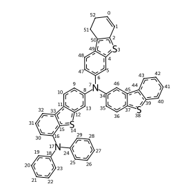 C1=Cc2sc3cc(N(c4ccc5c(c4)sc4c(N(c6ccccc6)c6ccccc6)cccc45)c4ccc5sc6ccccc6c5c4)ccc3c2CC1